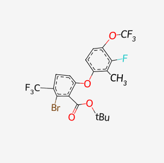 Cc1c(Oc2ccc(C(F)(F)F)c(Br)c2C(=O)OC(C)(C)C)ccc(OC(F)(F)F)c1F